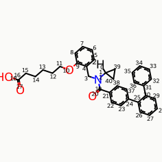 [2H]C1(N(Cc2ccccc2OCCCCCC(=O)O)C(=O)c2ccc(-c3ccccc3-c3ccccc3)cc2)CC1